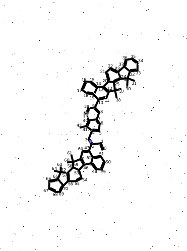 C=C/C(=C\c1ccc2cc(-c3cc4c(c5ccccc35)-c3ccc5c(c3C4(C)C)C(C)(C)c3ccccc3-5)cnc2c1C)c1cc2c(c3ccccc13)C1C=CC3=C(C1C2(C)C)C(C)(C)c1ccccc13